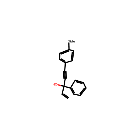 C=CC(O)(C#Cc1ccc(OC)cc1)c1ccccc1